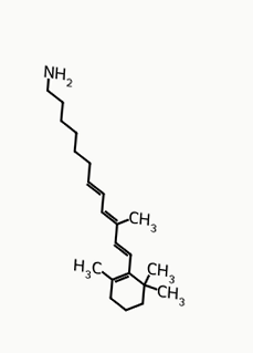 CC1=C(/C=C/C(C)=C/C=CCCCCCCN)C(C)(C)CCC1